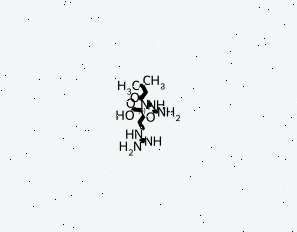 CC(C)CC(=O)N(NC(N)=O)[C@@H](CCCNC(=N)N)C(=O)O